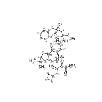 CC(C)CC(C)(CS(=O)(=O)Cc1ccccc1)NC(=O)N[C@H](C(=O)N1CC2C(C1C(=O)NC(CC1CCC1)C(=O)C(N)=O)C2(C)C)C(C)(C)C